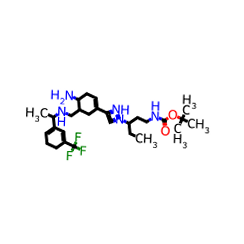 CCC(CCNC(=O)OC(C)(C)C)n1cc(C2=CCC(N)C(CNC(C)C3=CCCC(C(F)(F)F)=C3)C2)[nH]1